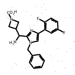 NC(c1nc(-c2cc(F)ccc2F)cn1Cc1ccccc1)C1CN(C(=O)O)C1